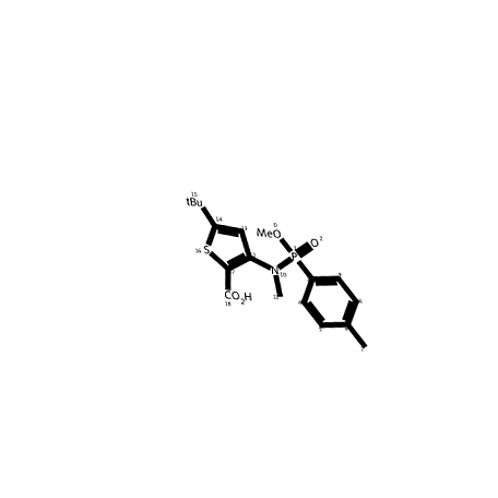 COP(=O)(c1ccc(C)cc1)N(C)c1cc(C(C)(C)C)sc1C(=O)O